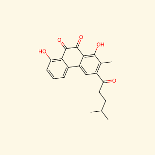 Cc1c(C(=O)CCC(C)C)cc2c(c1O)C(=O)C(=O)c1c(O)cccc1-2